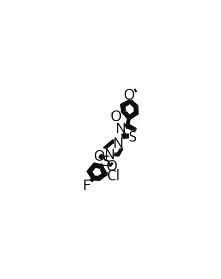 COc1ccc(-c2csc(N3CCN(S(=O)(=O)c4ccc(F)cc4Cl)CC3)n2)c(OC)c1